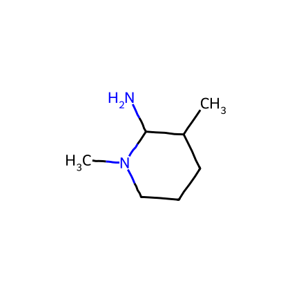 CC1CCCN(C)C1N